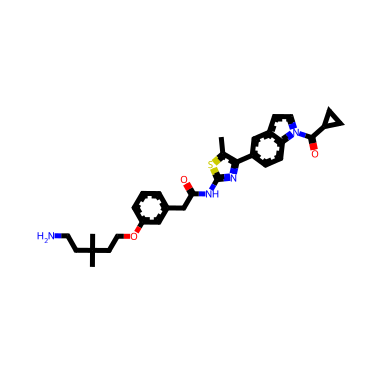 Cc1sc(NC(=O)Cc2cccc(OCCC(C)(C)CCN)c2)nc1-c1ccc2c(ccn2C(=O)C2CC2)c1